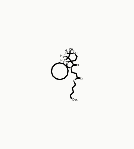 CCCCCCCCCCCCCCOC(=O)CCN1C(=O)C2(CCNC(C)(C)C2(C)C)OC12CCCCCCCCCCC2